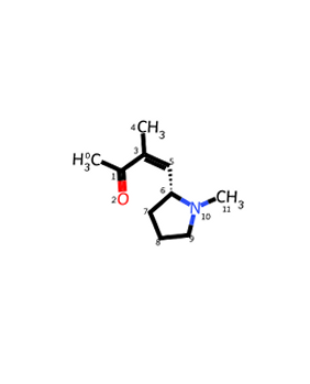 CC(=O)/C(C)=C\[C@H]1CCCN1C